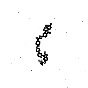 CC1(Oc2ccc3n[nH]c(-c4cc(N5CCN(CC6(F)CCN(C(=O)C7CN(c8ccc9c(c8)C(=O)N(C8CCC(=O)NC8=O)C9=O)C7)CC6)CC5)ncn4)c3c2)CC1